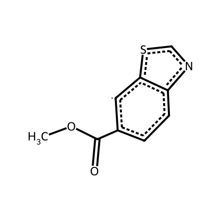 COC(=O)c1[c]c2scnc2cc1